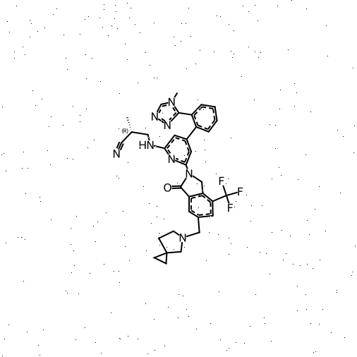 C[C@@H](C#N)CNc1cc(-c2ccccc2-c2nncn2C)cc(N2Cc3c(cc(CN4CCC5(CC5)C4)cc3C(F)(F)F)C2=O)n1